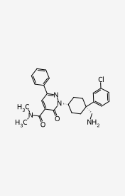 CN(C)C(=O)c1cc(-c2ccccc2)nn([C@H]2CC[C@](CN)(c3cccc(Cl)c3)CC2)c1=O